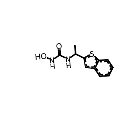 CC(NC(=O)NO)c1cc2ccccc2s1